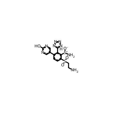 NCCS(=O)(=O)c1ccc(-c2cnc(O)nc2)c(-c2nnn[nH]2)c1[S+](N)[O-]